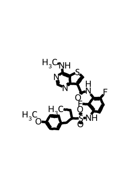 CCC(Cc1ccc(OC)cc1)S(=O)(=O)Nc1ccc(F)c(NC(=O)c2csc3c(NC)ncnc23)c1F